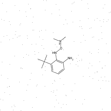 C[SiH](C)ONc1c(N)cccc1C(C)(C)C